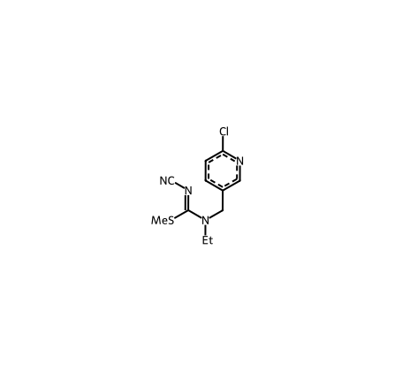 CCN(Cc1ccc(Cl)nc1)C(=NC#N)SC